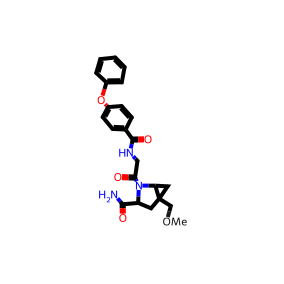 COCC12CC(C(N)=O)N(C(=O)CNC(=O)c3ccc(Oc4ccccc4)cc3)C1C2